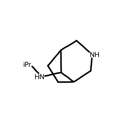 CC(C)NC1C2CCC1CNC2